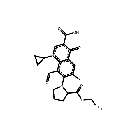 CCOC(=O)C1CCCN1c1c(F)cc2c(=O)c(C(=O)O)cn(C3CC3)c2c1C=O